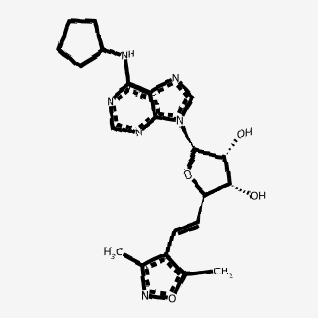 Cc1noc(C)c1C=C[C@H]1O[C@@H](n2cnc3c(NC4CCCC4)ncnc32)[C@H](O)[C@@H]1O